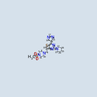 CS(=O)(=O)N1CCN(Cc2csc3c(-c4cncnc4)nc(N4CCCCC4)nc23)CC1